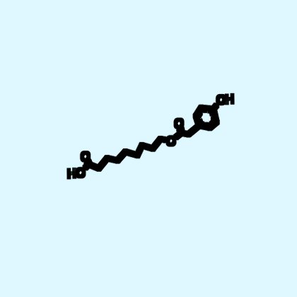 O=C(O)CCCCCCCCOC(=O)Cc1ccc(O)cc1